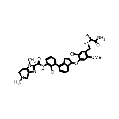 COc1cc(OC2CCc3c(-c4cccc(NC(=O)c5nc6c(n5C)CCN(C)C6)c4Cl)cccc32)c(Cl)cc1CNC(C(N)=O)C(C)C